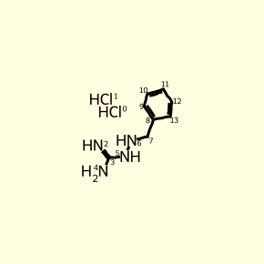 Cl.Cl.N=C(N)NNCc1ccccc1